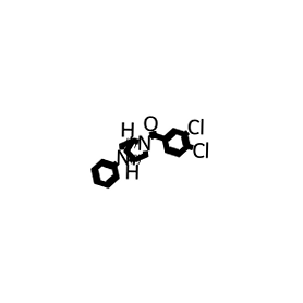 O=C(c1ccc(Cl)c(Cl)c1)N1C[C@@H]2C[C@H]1CN2c1ccccc1